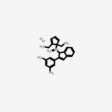 [CH2]=[Zr+2]([CH]1C(c2cc(C)cc(C)c2)=Cc2ccccc21)[C]1(CC)C=CC=C1CC.[Cl-].[Cl-]